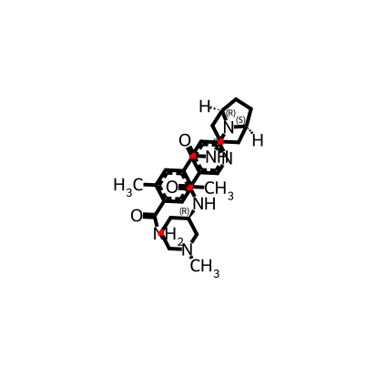 Cc1cc(C(=O)N[C@H]2C[C@H]3CC[C@@H](C2)N3c2ccc(C(=O)N[C@@H]3CCCN(C)C3)cn2)c(C)cc1C(N)=O